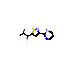 CC(C)C(=O)c1cc(-c2ncccn2)ns1